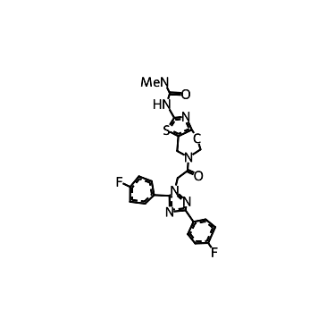 CNC(=O)Nc1nc2c(s1)CN(C(=O)Cn1nc(-c3ccc(F)cc3)nc1-c1ccc(F)cc1)CC2